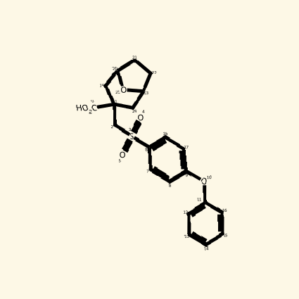 O=C(O)C1(CS(=O)(=O)c2ccc(Oc3ccccc3)cc2)CC2CCC(C1)O2